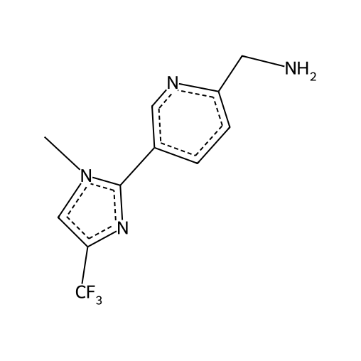 Cn1cc(C(F)(F)F)nc1-c1ccc(CN)nc1